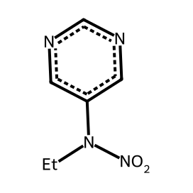 CCN(c1cncnc1)[N+](=O)[O-]